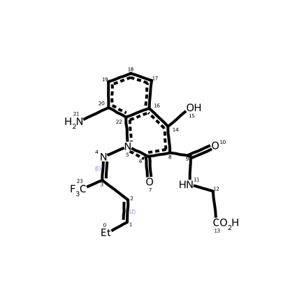 CC/C=C\C(=N/n1c(=O)c(C(=O)NCC(=O)O)c(O)c2cccc(N)c21)C(F)(F)F